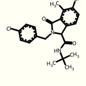 Cc1c(O)ccc2c1C(=O)N(Cc1ccc(Cl)cc1)C2C(=O)NC(C)(C)C